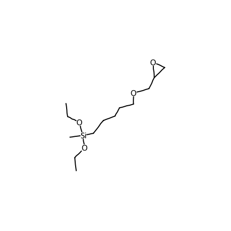 CCO[Si](C)(CCCCCOCC1CO1)OCC